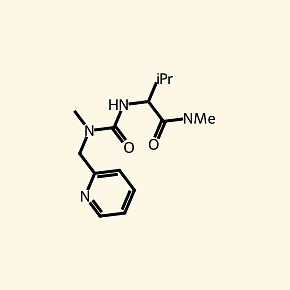 CNC(=O)C(NC(=O)N(C)Cc1ccccn1)C(C)C